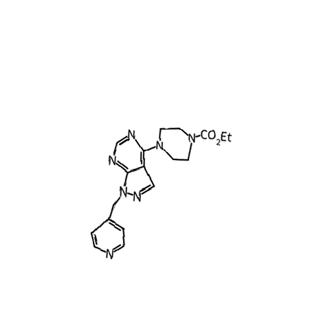 CCOC(=O)N1CCN(c2ncnc3c2cnn3Cc2ccncc2)CC1